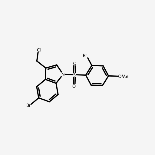 COc1ccc(S(=O)(=O)n2cc(CCl)c3cc(Br)ccc32)c(Br)c1